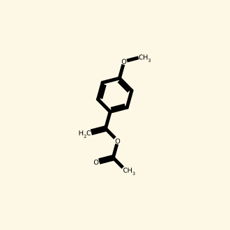 C=C(OC(C)=O)c1ccc(OC)cc1